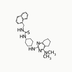 CN(C)c1nc(N[C@H]2CC[C@@H](NC(=S)NCc3cccc4ccccc34)CC2)nc2c1CCCC2